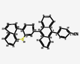 N#Cc1ccc(-c2c3ccccc3c(-c3ccc4c(c3)Sc3cccc5cccc-4c35)c3ccccc23)cc1